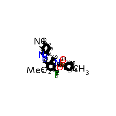 COc1cc(CF)c2c(ccn2S(=O)(=O)c2ccc(C)cc2)c1Cn1cc2ccc(C#N)cc2n1